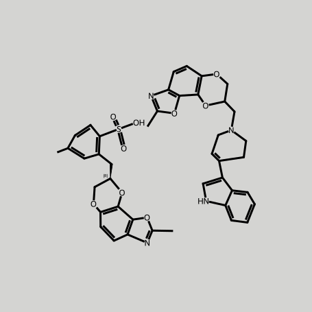 Cc1ccc(S(=O)(=O)O)c(C[C@@H]2COc3ccc4nc(C)oc4c3O2)c1.Cc1nc2ccc3c(c2o1)OC(CN1CC=C(c2c[nH]c4ccccc24)CC1)CO3